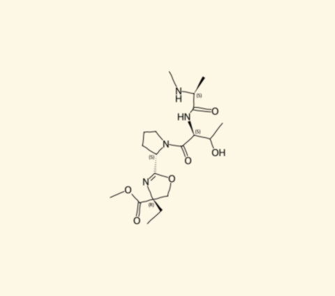 CC[C@]1(C(=O)OC)COC([C@@H]2CCCN2C(=O)[C@@H](NC(=O)[C@H](C)NC)C(C)O)=N1